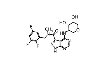 CN(Cc1cc(F)cc(F)c1F)C(=O)c1n[nH]c2ncnc(N[C@@H]3COC[C@@H](O)[C@H]3O)c12